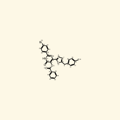 O=C(Oc1c(-c2nnc(Cc3ccc(F)cc3)o2)nc(-c2ccc(Br)cc2)[nH]c1=O)c1ccccc1